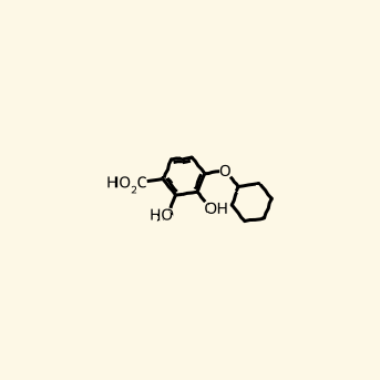 O=C(O)c1ccc(OC2CCCCC2)c(O)c1O